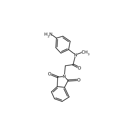 CN(C(=O)CN1C(=O)c2ccccc2C1=O)c1ccc(N)cc1